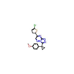 COc1ccc(C2(c3nnc4nc(C5CC=C(Br)S5)cnn34)CC2)cc1